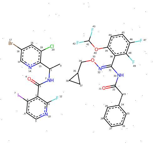 CC(NC(=O)c1c(I)ccnc1F)c1ncc(Br)cc1Cl.O=C(Cc1ccccc1)N/C(=N/OCC1CC1)c1c(OC(F)F)ccc(F)c1F